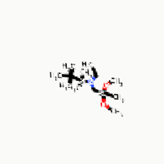 CCN(C[Si](C)(OC)OC)[Si](C)(C)C(C)(C)C